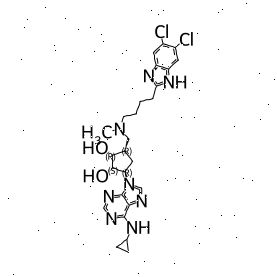 CN(CCCCc1nc2cc(Cl)c(Cl)cc2[nH]1)C[C@H]1C[C@@H](n2cnc3c(NC4CC4)ncnc32)[C@H](O)[C@@H]1O